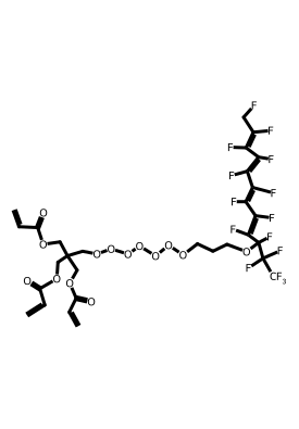 C=CC(=O)OCC(COOOOOOOCCCOC(F)(/C(F)=C(F)/C(F)=C(F)/C(F)=C(F)/C(F)=C(\F)CF)C(F)(F)C(F)(F)F)(COC(=O)C=C)COC(=O)C=C